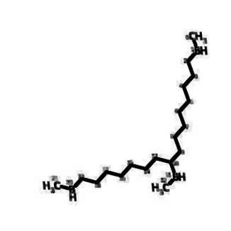 CBCCCCCCCCC(BC)CCCCCCCBC